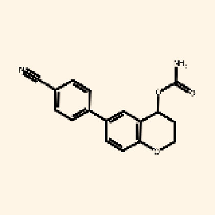 N#Cc1ccc(-c2ccc3c(c2)C(OC(N)=O)CCO3)cc1